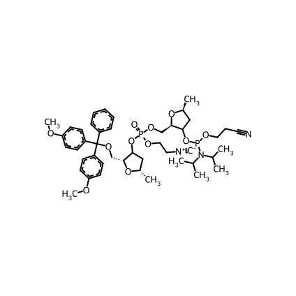 [C-]#[N+]CCOP(=O)(OC[C@H]1O[C@@H](C)CC1OP(OCCC#N)N(C(C)C)C(C)C)OC1C[C@H](C)O[C@@H]1COC(c1ccccc1)(c1ccc(OC)cc1)c1ccc(OC)cc1